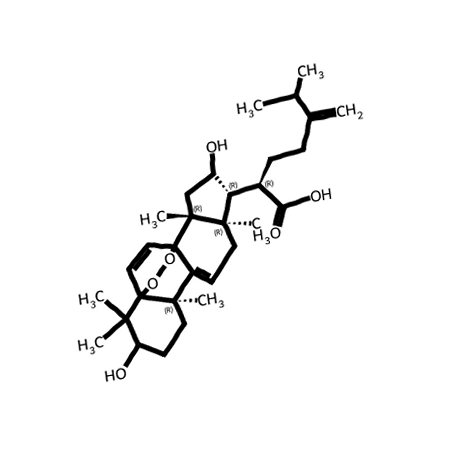 C=C(CC[C@@H](C(=O)O)[C@H]1C(O)C[C@@]2(C)C34C=CC5(OO3)C(C)(C)C(O)CC[C@]5(C)C4=CC[C@]12C)C(C)C